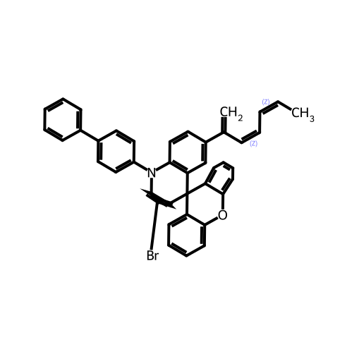 C=C(/C=C\C=C/C)c1ccc2c(c1)C1(c3ccccc3Oc3ccccc31)c1cc(Br)ccc1N2c1ccc(-c2ccccc2)cc1